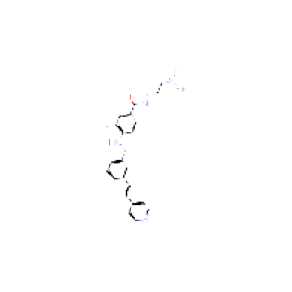 CCN(CC)CCCNC(=O)c1ccc(NCc2cccc(/C=C/c3ccncc3)c2)c(C)c1